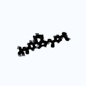 CC1C[C@@H](OC(=O)c2ccc([N+](=O)[O-])cc2)c2ncnc(N3CCN(C(=O)OC(C)(C)C)CC3)c21